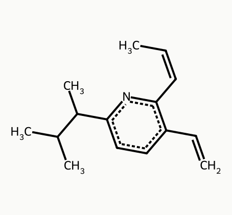 C=Cc1ccc(C(C)C(C)C)nc1/C=C\C